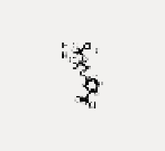 CC(C)(C)OC(=O)COc1cccc(C(=O)Cl)c1